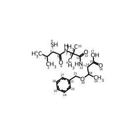 CC(C)[C@H](S)C(=O)NC(C)(C)C(=O)N[C@H](C(=O)O)C(C)OCc1ccccc1